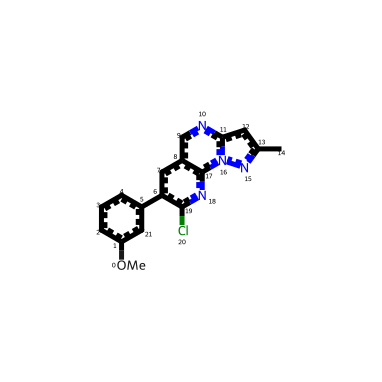 COc1cccc(-c2cc3cnc4cc(C)nn4c3nc2Cl)c1